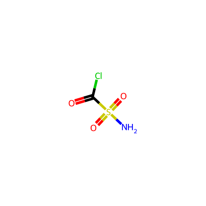 NS(=O)(=O)C(=O)Cl